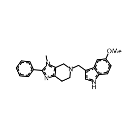 COc1ccc2[nH]cc(CN3CCc4nc(-c5ccccc5)n(C)c4C3)c2c1